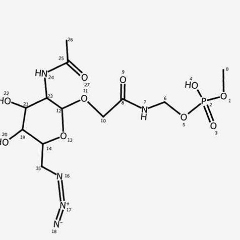 COP(=O)(O)OCNC(=O)COC1OC(CN=[N+]=[N-])C(O)C(O)C1NC(C)=O